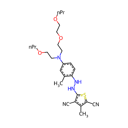 CCCOCCOCCN(CCOCCC)c1ccc(NNc2sc(C#N)c(C)c2C#N)c(C)c1